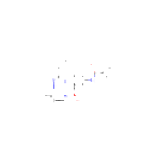 CN(C(=O)C1CCCC1)c1ccc2c(c1)c(=O)n(Cc1ccccc1)c1nnc(C3CCCC3)n21